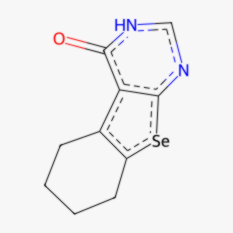 O=c1[nH]cnc2[se]c3c(c12)CCCC3